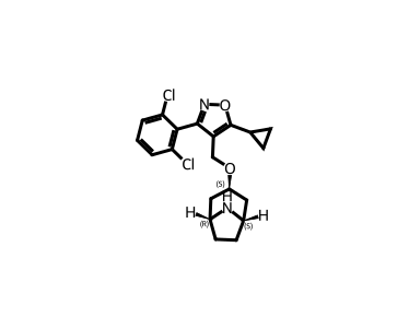 Clc1cccc(Cl)c1-c1noc(C2CC2)c1CO[C@@H]1C[C@H]2CC[C@@H](C1)N2